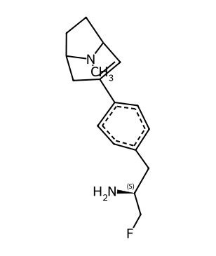 CN1C2C=C(c3ccc(C[C@H](N)CF)cc3)CC1CC2